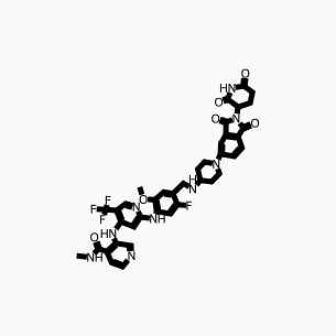 CNC(=O)c1ccncc1Nc1cc(Nc2cc(F)c(CNC3CCN(c4ccc5c(c4)C(=O)N(C4CCC(=O)NC4=O)C5=O)CC3)cc2OC)ncc1C(F)(F)F